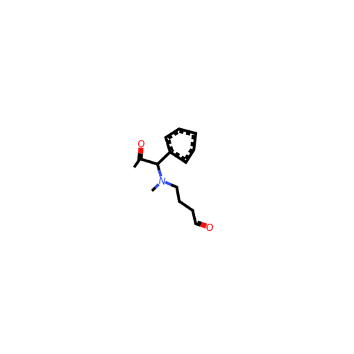 CC(=O)C(c1ccccc1)N(C)CCCC=O